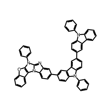 c1ccc(-n2c3ccccc3c3cc(-c4ccc5c(c4)c4cc(-c6ccc7c(c6)nc6n(-c8ccccc8)c8oc9ccccc9c8n76)ccc4n5-c4ccccc4)ccc32)cc1